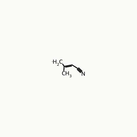 [CH2]/C(C)=C/C#N